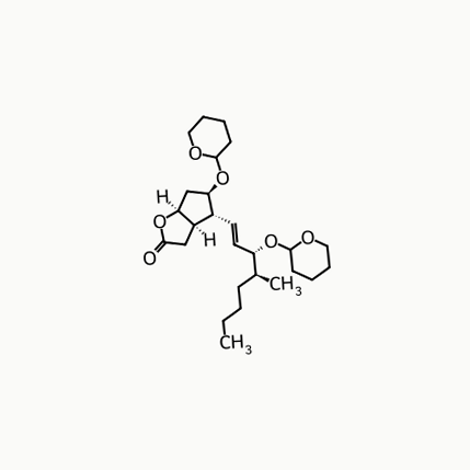 CCCC[C@H](C)[C@H](C=C[C@@H]1[C@H]2CC(=O)O[C@H]2C[C@H]1OC1CCCCO1)OC1CCCCO1